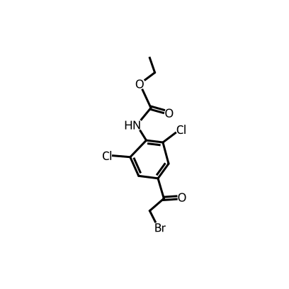 CCOC(=O)Nc1c(Cl)cc(C(=O)CBr)cc1Cl